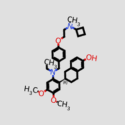 CCN(Cc1ccc(OCCN(C)C2CCC2)cc1)c1cc(OC)c(OC)cc1[C@@H]1CCc2cc(O)ccc2C1